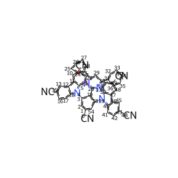 N#Cc1cc(-n2c3ccc(C#N)cc3c3cc(C#N)ccc32)c(-c2nc(-c3ccccc3)cc(-c3ccccc3)n2)c(-n2c3ccc(C#N)cc3c3cc(C#N)ccc32)c1